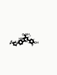 CN(C)C1CCN(c2ccc3c(c2)[nH]c2c(C(N)=O)cc(C4C=C(F)C(O)=CC4)nc23)C1